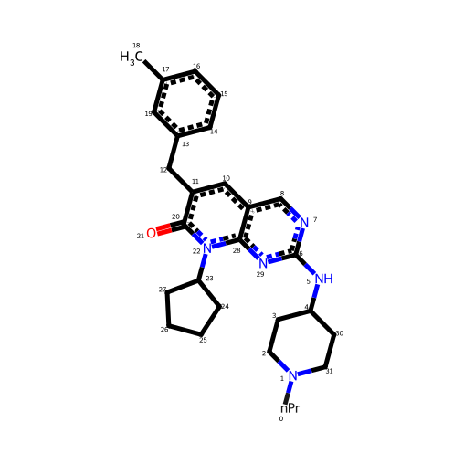 CCCN1CCC(Nc2ncc3cc(Cc4cccc(C)c4)c(=O)n(C4CCCC4)c3n2)CC1